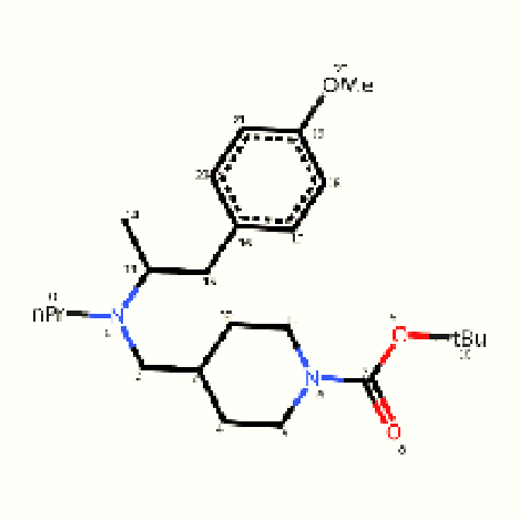 CCCN(CC1CCN(C(=O)OC(C)(C)C)CC1)C(C)Cc1ccc(OC)cc1